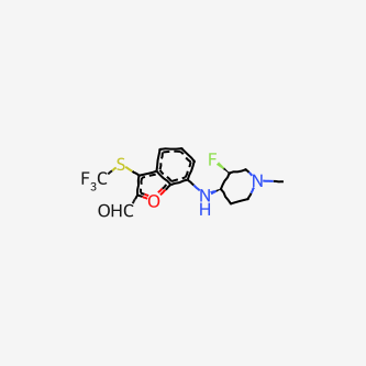 CN1CC[C@@H](Nc2cccc3c(SC(F)(F)F)c(C=O)oc23)[C@@H](F)C1